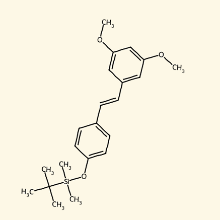 COc1cc(C=Cc2ccc(O[Si](C)(C)C(C)(C)C)cc2)cc(OC)c1